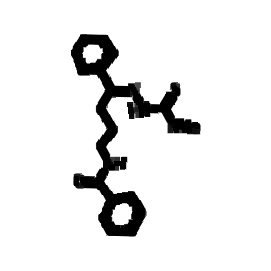 CNC(=S)NN=C(CCCNC(=O)c1ccccc1)c1ccccc1